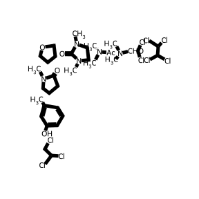 C1CCOC1.CC(=O)N(C)C.CN(C)C=O.CN1CCCC1=O.CN1CCN(C)C1=O.Cc1cccc(O)c1.ClC(Cl)C(Cl)Cl.ClCC(Cl)Cl.ClCCl